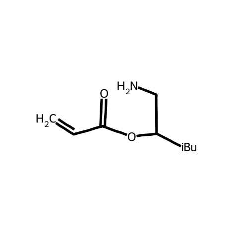 C=CC(=O)OC(CN)C(C)CC